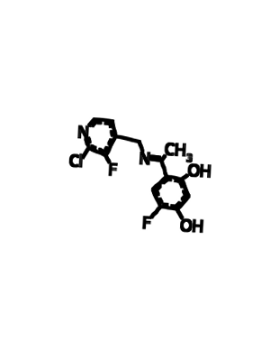 C/C(=N\Cc1ccnc(Cl)c1F)c1cc(F)c(O)cc1O